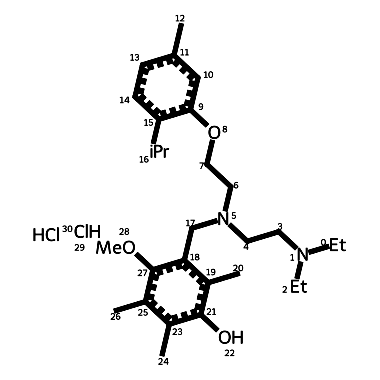 CCN(CC)CCN(CCOc1cc(C)ccc1C(C)C)Cc1c(C)c(O)c(C)c(C)c1OC.Cl.Cl